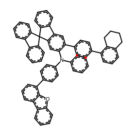 c1ccc(N(c2ccc(-c3cccc4c3oc3ccccc34)cc2)c2cc3c(cc2-c2ccc(-c4cccc5c4CCCC5)cc2)-c2ccccc2C32c3ccccc3-c3ccccc32)cc1